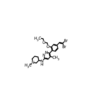 CCOCOc1cc(C=C(Br)Br)ccc1-c1nnc(NC2CCCN(C)C2)cc1C